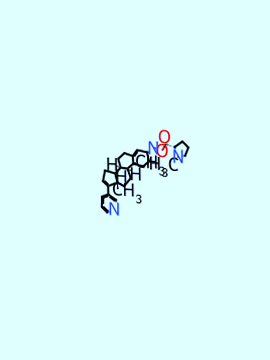 CN1CCC[C@H]1C(=O)ON=C1C=C2CC[C@H]3[C@H](CC[C@]4(C)C(c5cccnc5)=CC[C@@H]34)[C@@]2(C)CC1